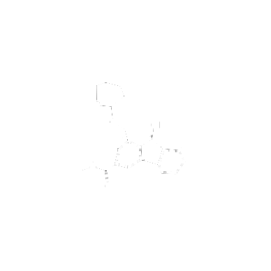 COC(=O)c1cc(COC2CCCCO2)c2c(c1)-c1ccccc1C2O